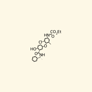 CCOC(=O)C(=O)Nc1cc(C)c(Oc2ccc(O)c(C(=O)N[C@H](C)c3ccccc3)c2)c(Cl)c1